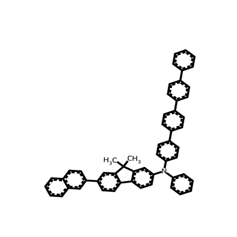 CC1(C)c2cc(-c3ccc4ccccc4c3)ccc2-c2ccc(N(c3ccccc3)c3ccc(-c4ccc(-c5ccc(-c6ccccc6)cc5)cc4)cc3)cc21